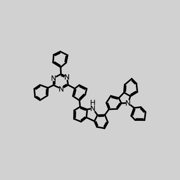 c1ccc(-c2nc(-c3ccccc3)nc(-c3cccc(-c4cccc5c4[nH]c4c(-c6ccc7c8ccccc8n(-c8ccccc8)c7c6)cccc45)c3)n2)cc1